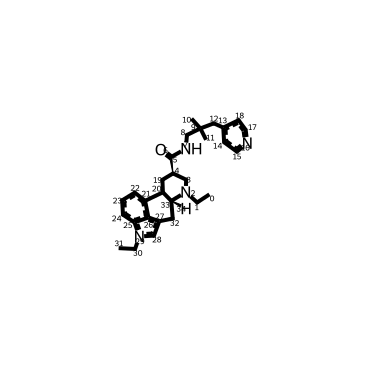 CCN1C[C@H](C(=O)NCC(C)(C)Cc2ccncc2)CC2c3cccc4c3c(cn4CC)C[C@H]21